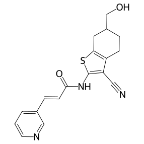 N#Cc1c(NC(=O)C=Cc2cccnc2)sc2c1CCC(CO)C2